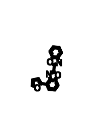 c1coc(-c2cccc3oc(-c4nc5ccccc5o4)nc23)c1